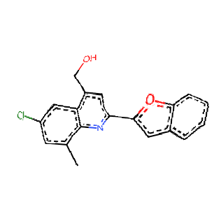 Cc1cc(Cl)cc2c(CO)cc(-c3cc4ccccc4o3)nc12